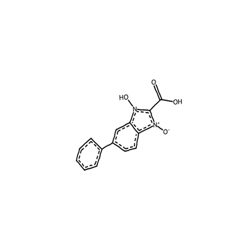 O=C(O)c1n(O)c2cc(-c3ccccc3)ccc2[n+]1[O-]